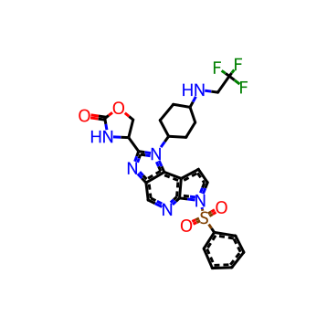 O=C1NC(c2nc3cnc4c(ccn4S(=O)(=O)c4ccccc4)c3n2C2CCC(NCC(F)(F)F)CC2)CO1